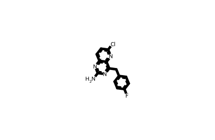 Nc1nc(Cc2ccc(F)cc2)c2nc(Cl)ccc2n1